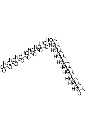 C=C(C)C(=O)O.C=C(C)C(=O)O.C=C(C)C(=O)O.C=C(C)C(=O)O.C=C(C)C(=O)O.C=C(C)C(=O)O.C=C(C)C(=O)O.C=C(C)C(=O)O.C=C(C)C(=O)O.C=C(C)C(=O)O.C=C(C)C(=O)O.C=C(C)C(=O)O.C=C(C)C(=O)O.C=C(C)C(=O)O.C=C(C)C(=O)O.C=C(C)C(=O)O.C=C(C)C(=O)O.C=C(C)C(=O)O